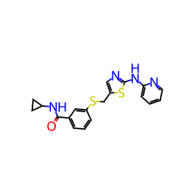 O=C(NC1CC1)c1cccc(SCc2cnc(Nc3ccccn3)s2)c1